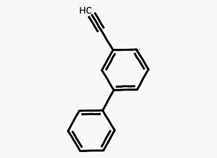 C#Cc1[c]ccc(-c2ccccc2)c1